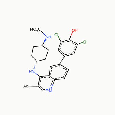 CC(=O)c1cnc2ccc(-c3cc(Cl)c(O)c(Cl)c3)cc2c1N[C@H]1CC[C@H](NC(=O)O)CC1